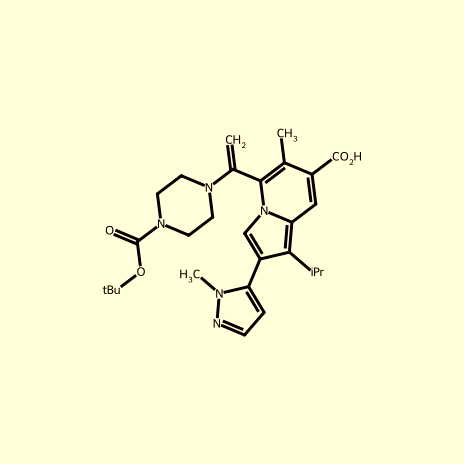 C=C(c1c(C)c(C(=O)O)cc2c(C(C)C)c(-c3ccnn3C)cn12)N1CCN(C(=O)OC(C)(C)C)CC1